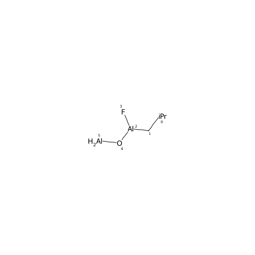 CC(C)[CH2][Al]([F])[O][AlH2]